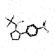 O=[N+]([O-])c1ccc(N2CCCC2[C@@H](O)C(F)(F)F)cc1